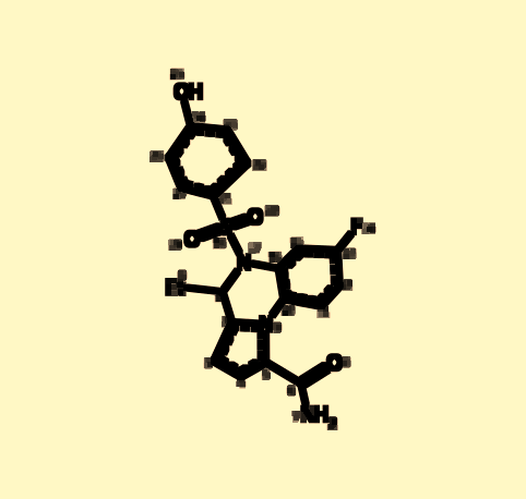 CCC1c2ccc(C(N)=O)n2-c2ccc(F)cc2N1S(=O)(=O)c1ccc(O)cc1